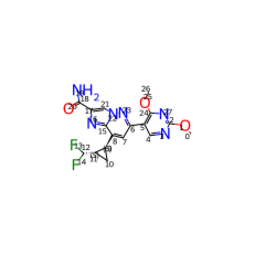 COc1ncc(-c2cc([C@H]3C[C@@H]3C(F)F)c3nc(C(N)=O)cn3n2)c(OC)n1